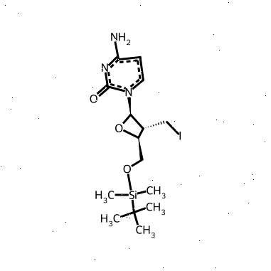 CC(C)(C)[Si](C)(C)OC[C@H]1O[C@@H](n2ccc(N)nc2=O)[C@@H]1CI